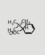 C[N+](C)(C)C1(C(=O)[O-])BC=CC=C1